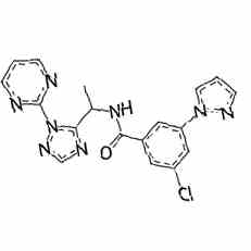 CC(NC(=O)c1cc(Cl)cc(-n2cccn2)c1)c1ncnn1-c1ncccn1